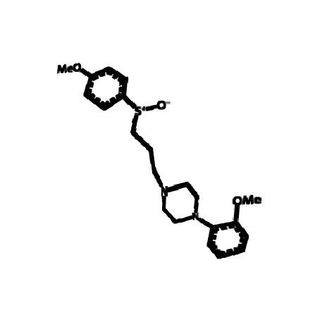 COc1ccc([S+]([O-])CCCN2CCN(c3ccccc3OC)CC2)cc1